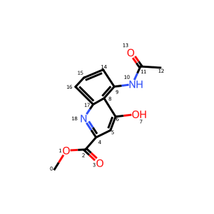 COC(=O)c1cc(O)c2c(NC(C)=O)cccc2n1